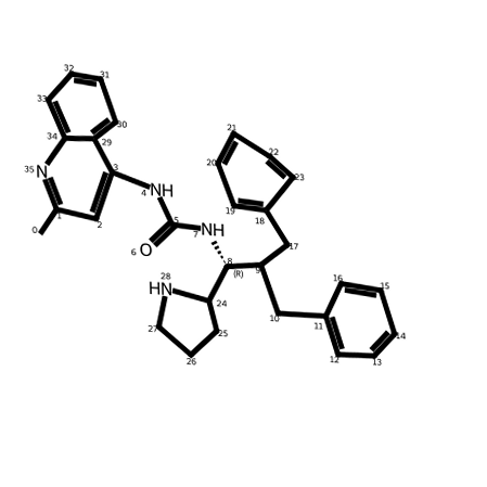 Cc1cc(NC(=O)N[C@H](C(Cc2ccccc2)Cc2ccccc2)C2CCCN2)c2ccccc2n1